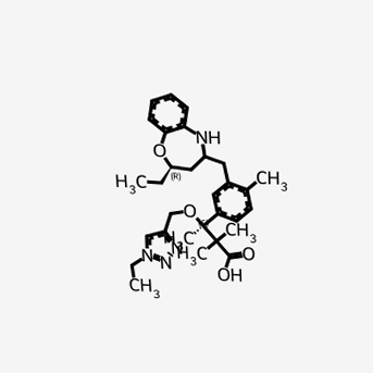 CC[C@@H]1CC(Cc2cc([C@](C)(OCc3cn(CC)nn3)C(C)(C)C(=O)O)ccc2C)Nc2ccccc2O1